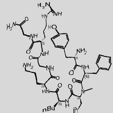 CCCC[C@H](NC(=O)[C@H](CC(C)C)N(C)C(=O)[C@H](Cc1ccccc1)NC(=O)[C@@H](N)Cc1ccc(O)cc1)C(=O)N[C@@H](CCCN)C(=O)NCC(=O)N[C@@H](CCCNC(=N)N)C(=O)NCC(N)=O